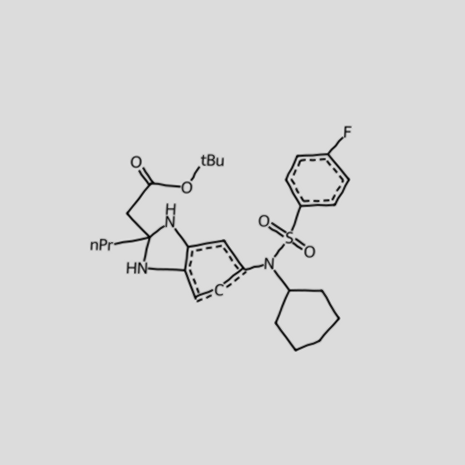 CCCC1(CC(=O)OC(C)(C)C)Nc2ccc(N(C3CCCCC3)S(=O)(=O)c3ccc(F)cc3)cc2N1